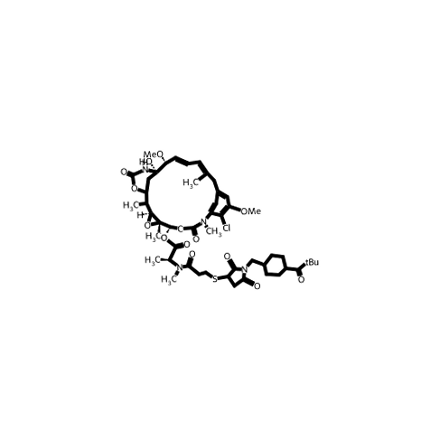 COc1cc2cc(c1Cl)N(C)C(=O)C[C@H](OC(=O)[C@H](C)N(C)C(=O)CCSC1CC(=O)N(CC3CCC(C(=O)C(C)(C)C)CC3)C1=O)[C@]1(C)O[C@H]1C(C)C1C[C@@](O)(NC(=O)O1)[C@H](OC)/C=C/C=C(\C)C2